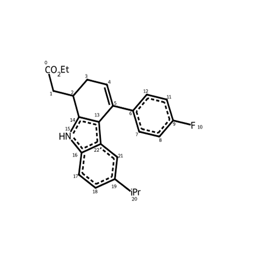 CCOC(=O)CC1CC=C(c2ccc(F)cc2)c2c1[nH]c1ccc(C(C)C)cc21